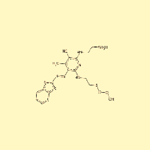 Cc1c(C#N)c(NCCS(=O)(=O)O)nc(NCCSOOO)c1N=Nc1nc2ccccc2s1